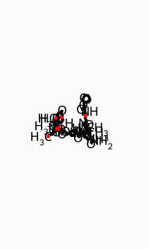 CCCC1O[C@@H]2CC3C4CCC5=CC(=O)C=C[C@]5(C)C4[C@@H](O)C[C@]3(C)[C@]2(C(=O)COC(=O)OCc2ccc(NC(=O)[C@H](CCCNC(N)=O)NC(=O)[C@@H](NC(=O)[C@H](N)CCCCNC(=O)COC3C#CCCCCC3)C(C)C)cc2)O1